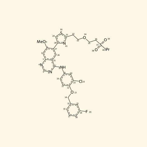 COc1cc2ncnc(Nc3ccc(OCc4cccc(F)c4)c(Cl)c3)c2cc1-c1csc(CCOCCS(=O)(=O)C(C)C)n1